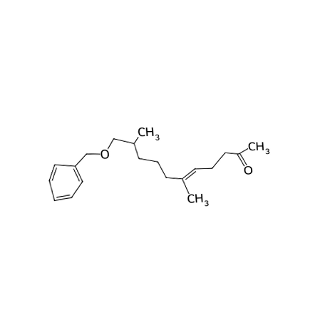 CC(=O)CCC=C(C)CCCC(C)COCc1ccccc1